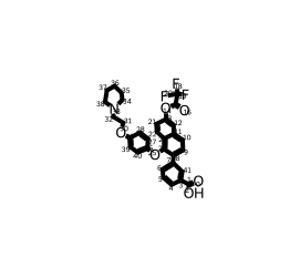 O=C(O)c1cccc(-c2ccc3cc(OC(=O)C(F)(F)F)ccc3c2Oc2ccc(OCCN3CCCCC3)cc2)c1